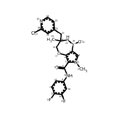 Cn1cc2c(c1C(=O)Nc1ccc(F)c(F)c1)OCC(C)(Cc1ccnc(Cl)c1)N[S+]2[O-]